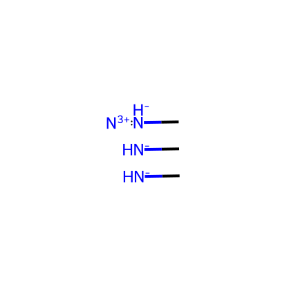 C[NH-].C[NH-].C[NH-].[N+3]